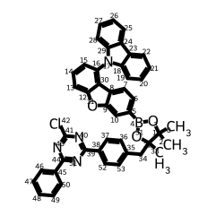 CC1(C)OB(c2ccc3c(c2)oc2cccc(-n4c5ccccc5c5ccccc54)c23)OC1(C)Cc1ccc(-c2nc(Cl)nc(-c3ccccc3)n2)cc1